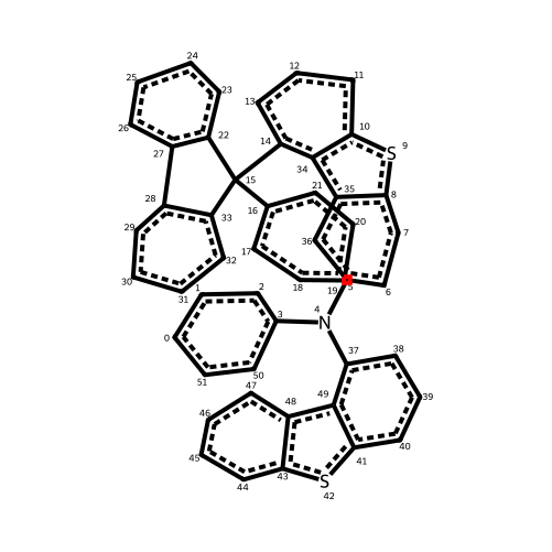 c1ccc(N(c2ccc3sc4cccc(C5(c6ccccc6)c6ccccc6-c6ccccc65)c4c3c2)c2cccc3sc4ccccc4c23)cc1